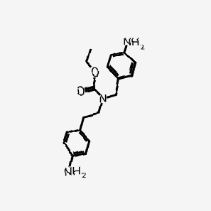 CCOC(=O)N(CCc1ccc(N)cc1)Cc1ccc(N)cc1